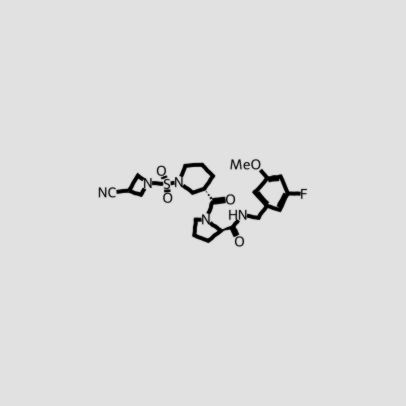 COc1cc(F)cc(CNC(=O)[C@H]2CCCN2C(=O)[C@H]2CCCN(S(=O)(=O)N3CC(C#N)C3)C2)c1